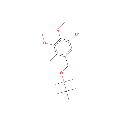 COc1c(Br)cc(CO[Si](C)(C)C(C)(C)C)c(C)c1OC